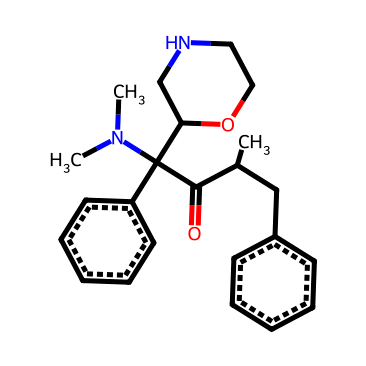 CC(Cc1ccccc1)C(=O)C(c1ccccc1)(C1CNCCO1)N(C)C